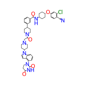 N#Cc1ccc(O[C@H]2CC[C@H](NC(=O)c3cccc(C4CCN(C(=O)CN5CCC(n6ccc7c(N8CCC(=O)NC8=O)cccc76)CC5)CC4)c3)CC2)cc1Cl